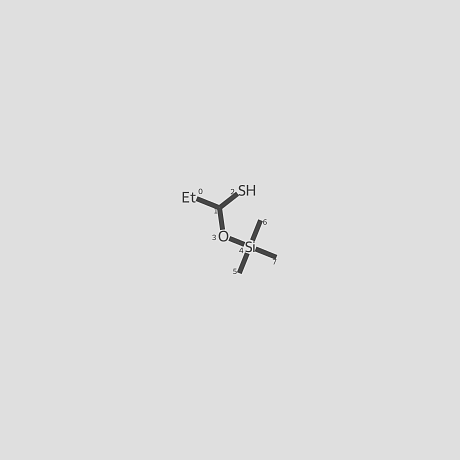 CCC(S)O[Si](C)(C)C